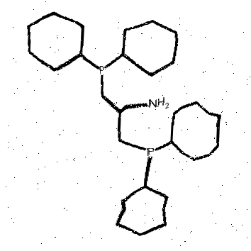 NC(CP(C1CCCCC1)C1CCCCC1)CP(C1CCCCC1)C1CCCCC1